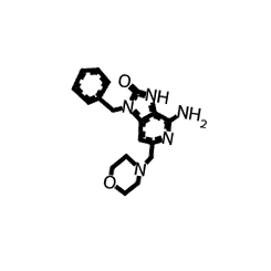 Nc1nc(CN2CCOCC2)cc2c1[nH]c(=O)n2Cc1ccccc1